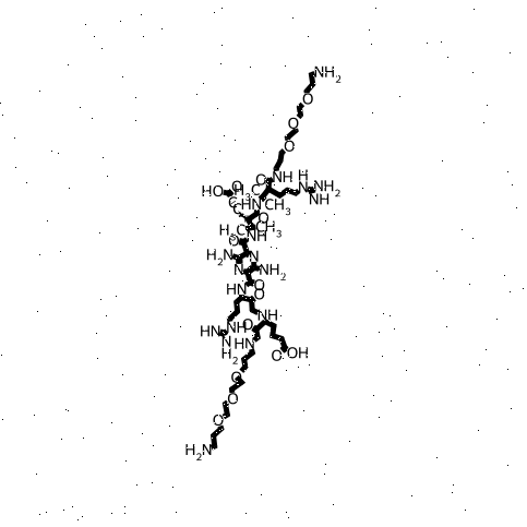 CC(C)(NC(=O)[C@H](CCCC(=O)O)C(C)(C)NC(=O)c1nc(N)c(C(=O)NC(CCCNC(=N)N)C(=O)CNC(CCCC(=O)O)C(=O)CNCCCOCCOCCOCCCN)nc1N)C(CCCNC(=N)N)C(=O)NCCCOCCOCCOCCCN